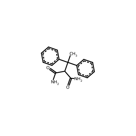 CC(c1ccccc1)(c1ccccc1)C(C(N)=O)C(N)=O